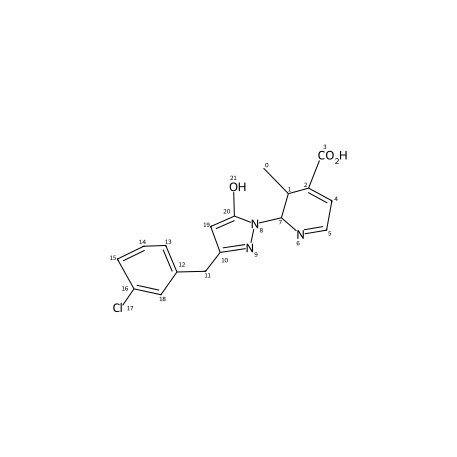 CC1C(C(=O)O)=CC=NC1n1nc(Cc2cccc(Cl)c2)cc1O